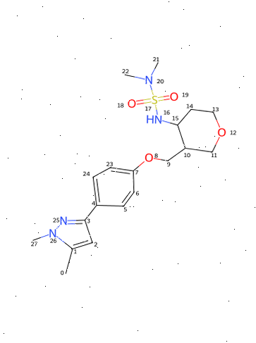 Cc1cc(-c2ccc(OCC3COCCC3NS(=O)(=O)N(C)C)cc2)nn1C